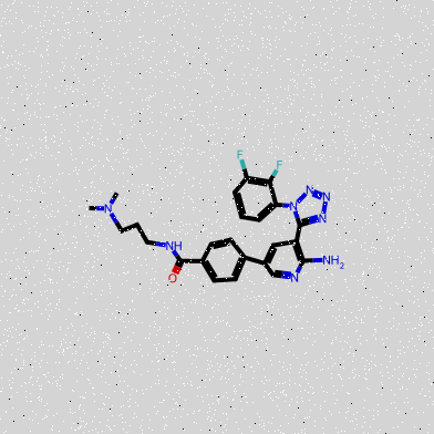 CN(C)CCCNC(=O)c1ccc(-c2cnc(N)c(-c3nnnn3-c3cccc(F)c3F)c2)cc1